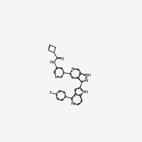 O=C(Nc1cncc(-c2cc3c(-c4cc5c(-c6ccc(F)cc6)nccc5[nH]4)n[nH]c3cn2)c1)C1CCC1